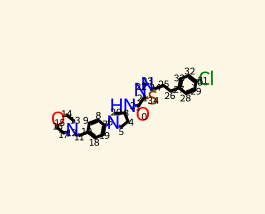 O=C(N[C@@H]1CCN(c2ccc(CN3CCOCC3)cc2)C1)c1nnc(CCc2ccc(Cl)cc2)s1